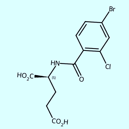 O=C(O)CC[C@H](NC(=O)c1ccc(Br)cc1Cl)C(=O)O